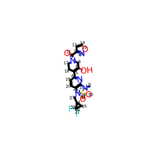 CN1c2nc(C3=C(O)CN(C(=O)c4ccon4)CC3)ccc2N(CC2CC2(F)F)S1(=O)=O